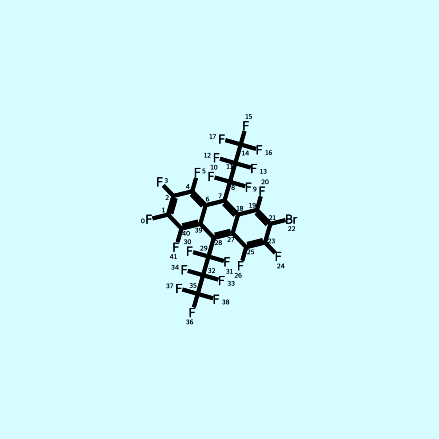 Fc1c(F)c(F)c2c(C(F)(F)C(F)(F)C(F)(F)F)c3c(F)c(Br)c(F)c(F)c3c(C(F)(F)C(F)(F)C(F)(F)F)c2c1F